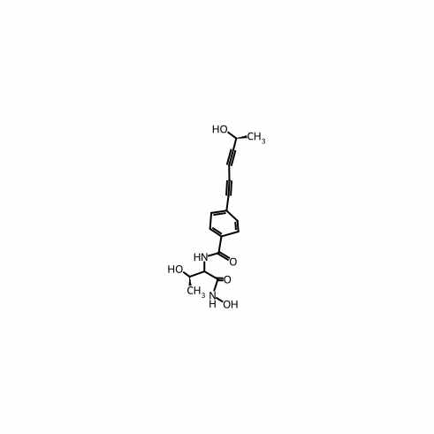 C[C@H](O)C#CC#Cc1ccc(C(=O)NC(C(=O)NO)[C@@H](C)O)cc1